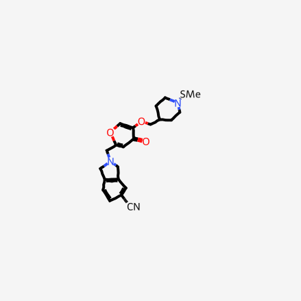 CSN1CCC(COc2coc(CN3Cc4ccc(C#N)cc4C3)cc2=O)CC1